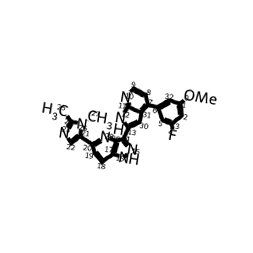 COc1cc(F)cc(-c2ccnc3[nH]c(-c4n[nH]c5ccc(-c6cnc(C)n6C)nc45)cc23)c1